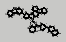 c1ccc2c(c1)-c1cccc3c1c-2cc1c3c2cc(-c3ccc4sc5ccccc5c4c3)ccc2n1-c1nc(-c2ccc(-c3ccc4ccccc4c3)cc2)c2ccccc2n1